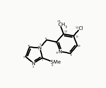 CSc1nccn1Cc1nccc(Cl)c1C